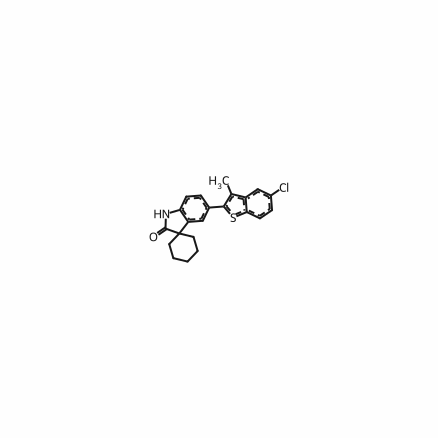 Cc1c(-c2ccc3c(c2)C2(CCCCC2)C(=O)N3)sc2ccc(Cl)cc12